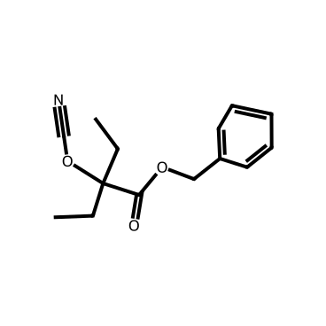 CCC(CC)(OC#N)C(=O)OCc1ccccc1